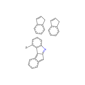 C1=Cc2ccccc2C1.C1=Cc2ccccc2C1.[Zr][c]1cccc2c1C1=c3ccccc3=CC1=N2